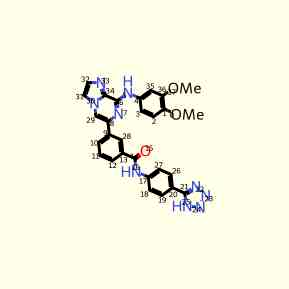 COc1ccc(Nc2nc(-c3cccc(C(=O)Nc4ccc(-c5nnn[nH]5)cc4)c3)cn3ccnc23)cc1OC